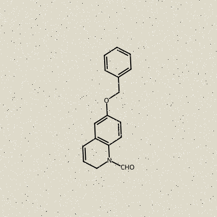 O=CN1CC=Cc2cc(OCc3ccccc3)ccc21